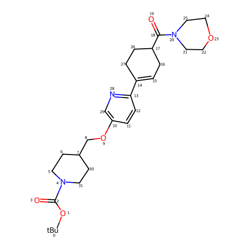 CC(C)(C)OC(=O)N1CCC(COc2ccc(C3=CCC(C(=O)N4CCOCC4)CC3)nc2)CC1